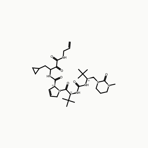 C=CCNC(=O)C(=O)C(CC1CC1)NC(=O)[C@@H]1C=CCN1C(=O)[C@@H](NC(=O)N[C@H](CN1CCCN(C)C1=O)C(C)(C)C)C(C)(C)C